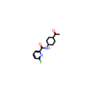 CC(=O)C1CCC(NC(=O)c2cccc(F)n2)CC1